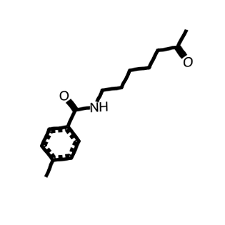 CC(=O)CCCCCNC(=O)c1ccc(C)cc1